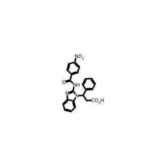 O=C(O)CC(c1ccccc1)n1c(NC(=O)c2ccc([N+](=O)[O-])cc2)nc2ccccc21